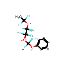 CC(F)(F)OC(F)(F)C(F)(F)OC(F)(F)Oc1ccccc1